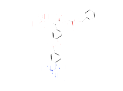 CC(C(=O)OCC(=O)OCc1ccccc1)c1ccc(OC(=O)c2ccc(NC(=N)N)cc2)cc1.O=C(O)O